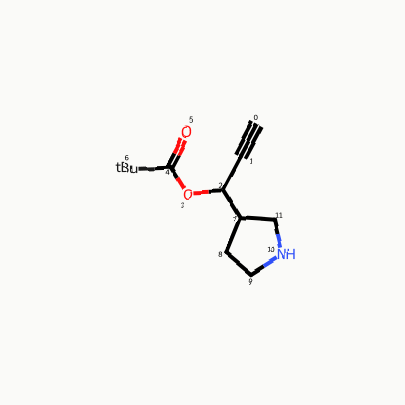 C#CC(OC(=O)C(C)(C)C)C1CCNC1